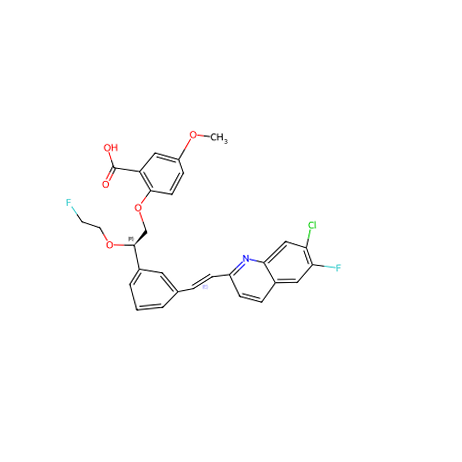 COc1ccc(OC[C@H](OCCF)c2cccc(/C=C/c3ccc4cc(F)c(Cl)cc4n3)c2)c(C(=O)O)c1